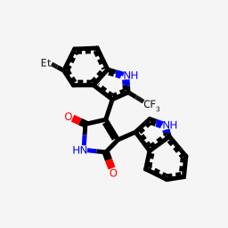 CCc1ccc2[nH]c(C(F)(F)F)c(C3=C(c4c[nH]c5ccccc45)C(=O)NC3=O)c2c1